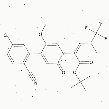 COc1cn(C(=CC(C)C(F)(F)F)C(=O)OC(C)(C)C)c(=O)cc1-c1cc(Cl)ccc1C#N